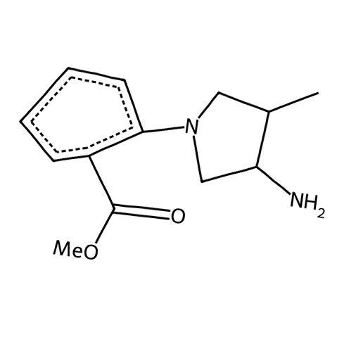 COC(=O)c1ccccc1N1CC(C)C(N)C1